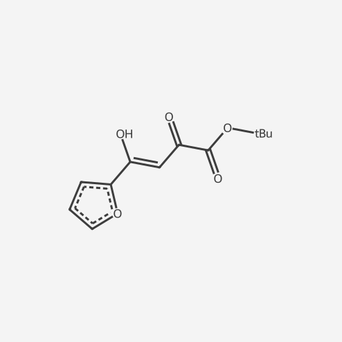 CC(C)(C)OC(=O)C(=O)/C=C(\O)c1ccco1